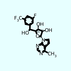 Cc1ncnc2c1ccn2[C@@H]1OC(C(O)c2cc(F)cc(C(F)(F)F)c2)[C@@H](O)[C@H]1O